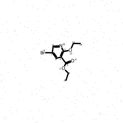 CCOC(=O)c1cc(Br)cnc1OCC